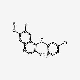 CCOC(=O)c1cnc2cc(OCC)c(Br)cc2c1Nc1cccc(CC)c1